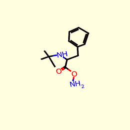 CC(C)(C)NC(Cc1ccccc1)C(=O)ON